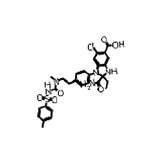 CCC1(C(N)=O)Nc2cc(C(=O)O)c(Cl)cc2N1c1ccc(CCN(C)C(=O)NS(=O)(=O)c2ccc(C)cc2)cc1